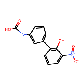 O=C(O)Nc1cccc(-c2cccc([N+](=O)[O-])c2O)c1